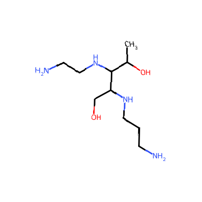 CC(O)C(NCCN)C(CO)NCCCN